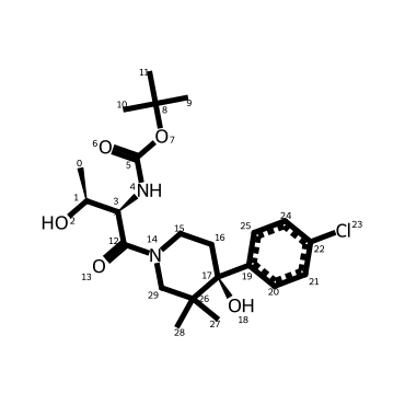 C[C@H](O)[C@@H](NC(=O)OC(C)(C)C)C(=O)N1CC[C@](O)(c2ccc(Cl)cc2)C(C)(C)C1